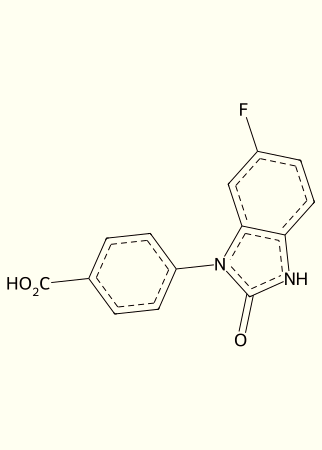 O=C(O)c1ccc(-n2c(=O)[nH]c3ccc(F)cc32)cc1